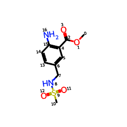 COC(=O)c1cc(CNS(C)(=O)=O)ccc1N